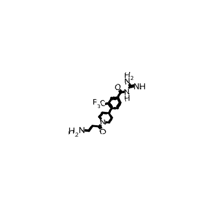 N=C(N)NC(=O)c1ccc(C2CCN(C(=O)CCN)CC2)c(C(F)(F)F)c1